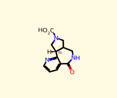 O=C1NCC2CN(C(=O)O)C[C@H]2c2ncccc21